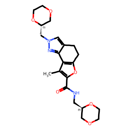 Cc1c(C(=O)NC[C@@H]2COCCO2)oc2c1-c1nn(C[C@H]3COCCO3)cc1CC2